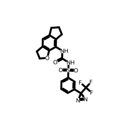 O=C(Nc1c2c(cc3c1OCC3)CCC2)NS(=O)(=O)c1cccc(C2(C(F)(F)F)N=N2)c1